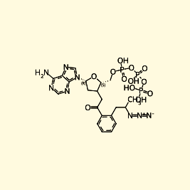 CC(Cc1ccccc1C(=O)CC1C[C@H](n2cnc3c(N)ncnc32)O[C@@H]1COP(=O)(O)OP(=O)(O)OP(=O)(O)O)N=[N+]=[N-]